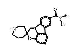 CCN(CC)C(=O)c1ccc2c(c1)-c1cccc3c1C2=CC1(CCCNCC1)O3